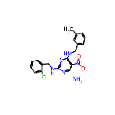 Cc1cccc(CNc2nc(NCc3ccccc3Cl)ncc2[N+](=O)[O-])c1.N